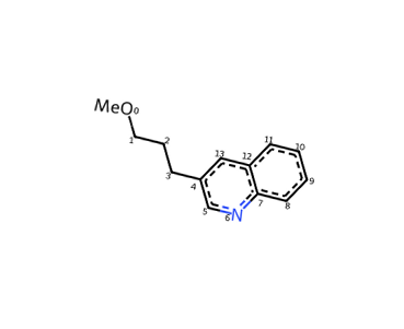 COCCCc1cnc2ccccc2c1